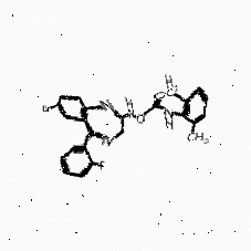 Cc1cccc(C)c1NC(=O)ONC1=Nc2ccc(Br)cc2C(c2ccccc2F)=NC1